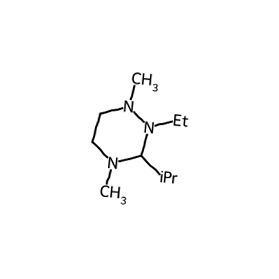 CCN1C(C(C)C)N(C)CCN1C